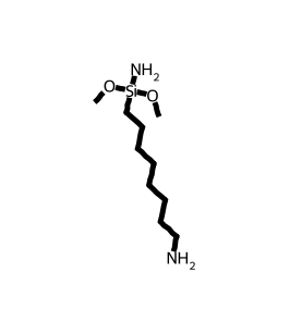 CO[Si](N)(CCCCCCCCN)OC